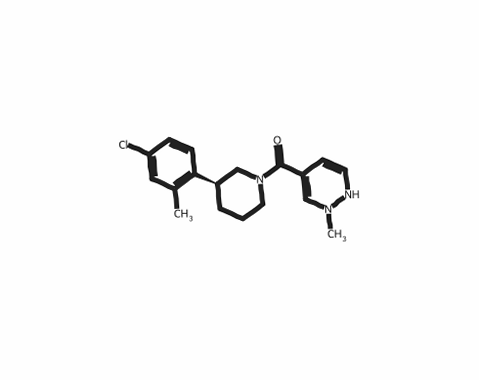 Cc1cc(Cl)ccc1[C@@H]1CCCN(C(=O)C2=CN(C)NC=C2)C1